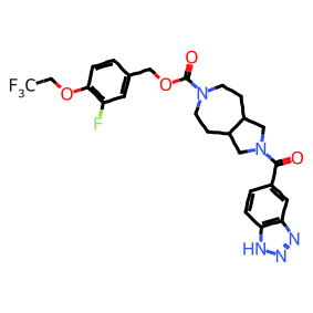 O=C(OCc1ccc(OCC(F)(F)F)c(F)c1)N1CCC2CN(C(=O)c3ccc4[nH]nnc4c3)CC2CC1